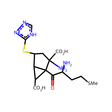 CSCCC(N)C(=O)C12C(C(=O)O)C1C(Sc1nnc[nH]1)CC2(N)C(=O)O